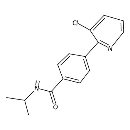 CC(C)NC(=O)c1ccc(-c2ncccc2Cl)cc1